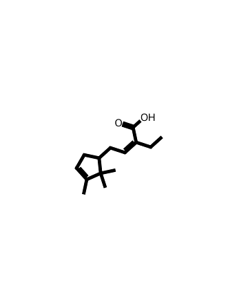 CCC(=CCC1CC=C(C)C1(C)C)C(=O)O